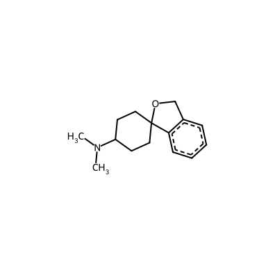 CN(C)C1CCC2(CC1)OCc1ccccc12